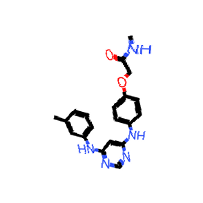 CNC(=O)COc1ccc(Nc2cc(Nc3cccc(C)c3)ncn2)cc1